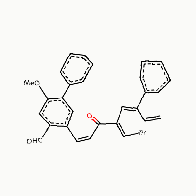 C=C/C(=C\C(=C/C(C)C)C(=O)/C=C\c1cc(-c2ccccc2)c(OC)cc1C=O)c1ccccc1